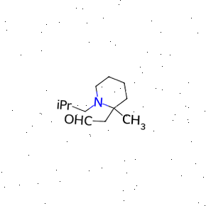 CC(C)CN1CCCCC1(C)CC=O